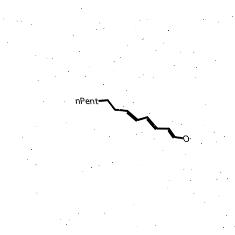 CCCCCCC/C=C/C=C/C=C/[O]